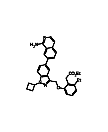 CCOC(=O)Cc1c(CC)cccc1OCc1nn(C2CCC2)c2ccc(-c3ccc4ccnc(N)c4c3)cc12